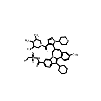 COc1ccc2c(c1)C=C(c1c(C(=O)N3CC(C)N(C)C(C)C3)cnn1C1CCOCC1)Cn1c-2c(C2CCCCC2)c2ccc(C(=O)NS(=O)(=O)CC(C)C)cc21